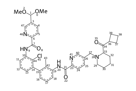 COC(OC)c1ccc(C(=O)Nc2cccc(-c3cccc(NC(=O)c4ccc(CN5CCCCC5C(=O)C5CCC5)cn4)c3C)c2Cl)nc1